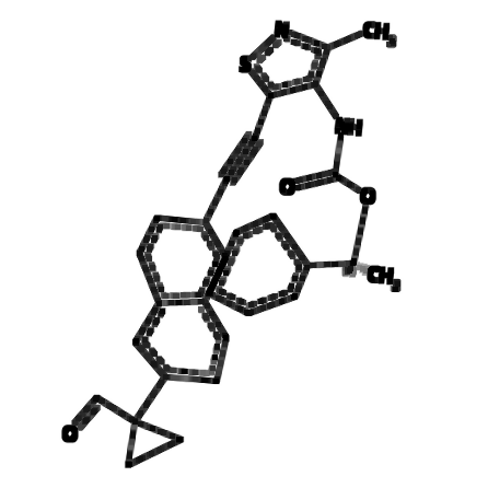 Cc1nsc(C#Cc2ccc3cc(C4(C=O)CC4)ccc3c2)c1NC(=O)O[C@H](C)c1ccccc1